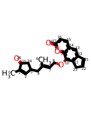 CC1=CC(C/C(C)=C/COc2c3c(cc4ccc(=O)oc24)C=CC3)CC1=O